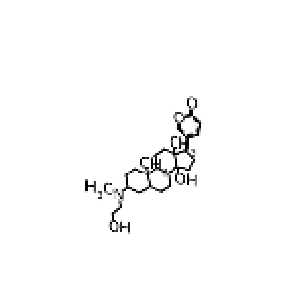 CN(CCO)C1CCC2(C)C(CCC3C2CCC2(C)C(c4ccc(=O)oc4)CCC32O)C1